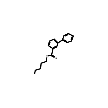 CCCCCOC(=O)c1cccc(-c2ccccc2)c1